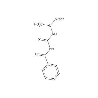 CCCCCN(NC(=S)NC(=O)c1ccccc1)C(=O)O